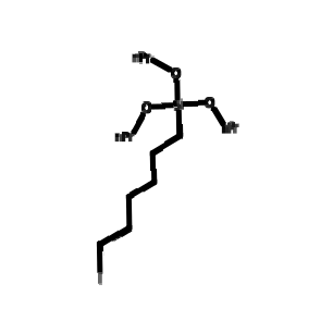 CCCO[Si](CCCCCCI)(OCCC)OCCC